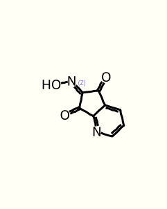 O=c1/c(=N/O)c(=O)c2ncccc12